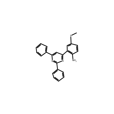 CSc1ccc(N)c(-c2cc(-c3ccccc3)nc(-c3ccccc3)n2)c1